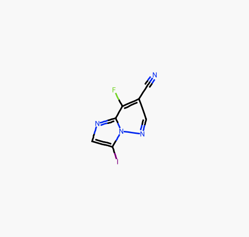 N#Cc1cnn2c(I)cnc2c1F